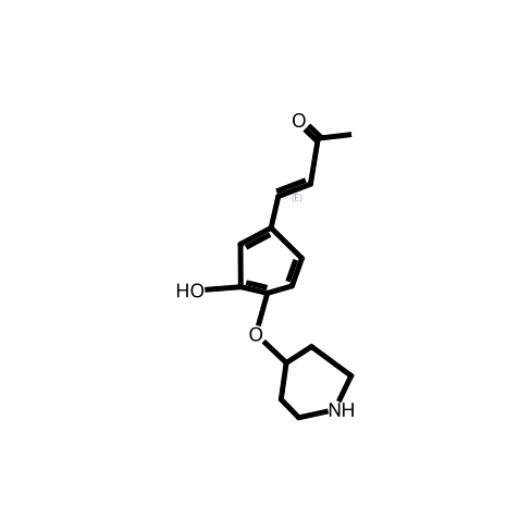 CC(=O)/C=C/c1ccc(OC2CCNCC2)c(O)c1